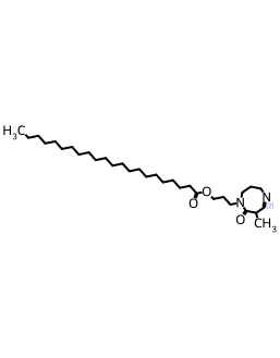 CCCCCCCCCCCCCCCCCCCCCC(=O)OCCCN1CCC/N=C\C(C)C1=O